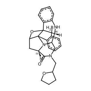 Bc1ccccc1C12C3C[C@H]4C(=O)N(CC5CCCO5)CC([C@H]5Nc6ccccc6C51O3)N42